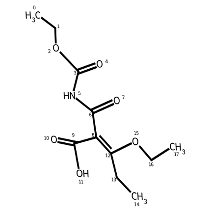 CCOC(=O)NC(=O)C(C(=O)O)=C(CC)OCC